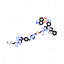 CN(C)c1cccc2c(S(=O)(=O)Nc3cccc(-c4cnc(NCCOCCN5CCN(Cc6ccc(-c7c[nH]c8nc(NCCC(F)(F)F)ncc78)cc6)CC5)nc4N4CCC(c5ccccc5)C4C(=O)O)c3)cccc12